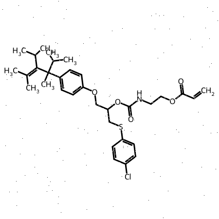 C=CC(=O)OCCNC(=O)OC(COc1ccc(C(C)(C(=C(C)C)C(C)C)C(C)C)cc1)CSc1ccc(Cl)cc1